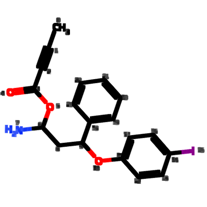 CC#CC(=O)OC(N)CC(Oc1ccc(I)cc1)c1ccccc1